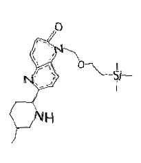 CC1CCC(c2ccc3c(ccc(=O)n3COCC[Si](C)(C)C)n2)NC1